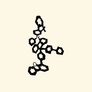 CC1(C)c2ccccc2-c2ccc(N(c3ccccc3)c3cccc4c3-c3ccccc3C4(c3ccc(-c4ccccc4)cc3)c3ccc(-c4cccc5c4oc4ccccc45)cc3)cc21